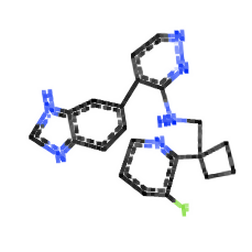 Fc1cccnc1C1(CNc2nnccc2-c2ccc3nc[nH]c3c2)CCC1